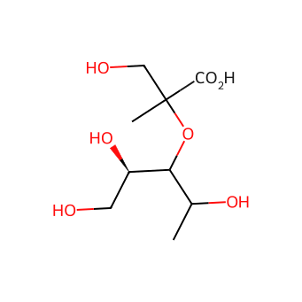 CC(O)C(OC(C)(CO)C(=O)O)[C@H](O)CO